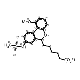 CCOC(=O)CCCCCC1Oc2cccc(OC)c2-c2ccc(NS(C)(=O)=O)cc21